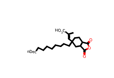 CCCCCCCCCCCCCCCCCCC1(C=C(C)C(=O)O)CCC2C(=O)OC(=O)C2C1